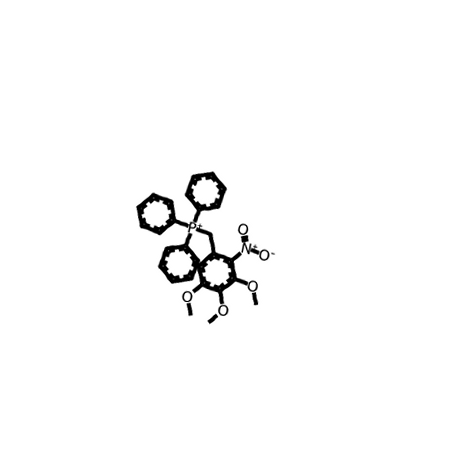 COc1cc(C[P+](c2ccccc2)(c2ccccc2)c2ccccc2)c([N+](=O)[O-])c(OC)c1OC